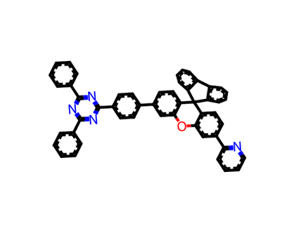 c1ccc(-c2nc(-c3ccccc3)nc(-c3ccc(-c4ccc5c(c4)Oc4cc(-c6ccccn6)ccc4C54c5ccccc5-c5ccccc54)cc3)n2)cc1